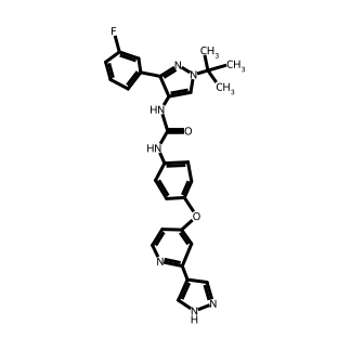 CC(C)(C)n1cc(NC(=O)Nc2ccc(Oc3ccnc(-c4cn[nH]c4)c3)cc2)c(-c2cccc(F)c2)n1